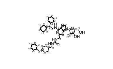 O=C(NCc1nc(NCC(c2ccccc2)c2ccccc2)c2ncn([C@@H]3O[C@H](CO)[C@@H](O)[C@@H]3O)c2n1)NCC1CCN(Cc2ccccc2)CC1